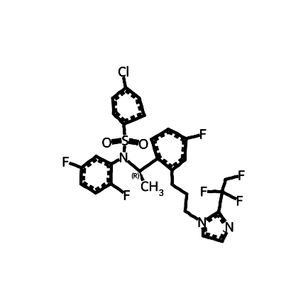 C[C@H](c1ccc(F)cc1CCCn1ccnc1C(F)(F)CF)N(c1cc(F)ccc1F)S(=O)(=O)c1ccc(Cl)cc1